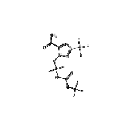 CC(C)(Cn1nc(C(F)(F)F)cc1C(N)=O)NC(=O)OC(C)(C)C